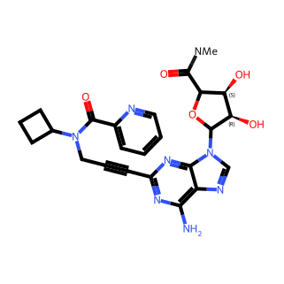 CNC(=O)C1OC(n2cnc3c(N)nc(C#CCN(C(=O)c4ccccn4)C4CCC4)nc32)[C@H](O)[C@@H]1O